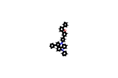 c1ccc(-c2ccc(N(c3ccc(-c4ccc5oc6c(-c7ccccc7)cccc6c5c4)cc3)c3cccc4c3c3ccccc3n4-c3ccccc3)cc2)cc1